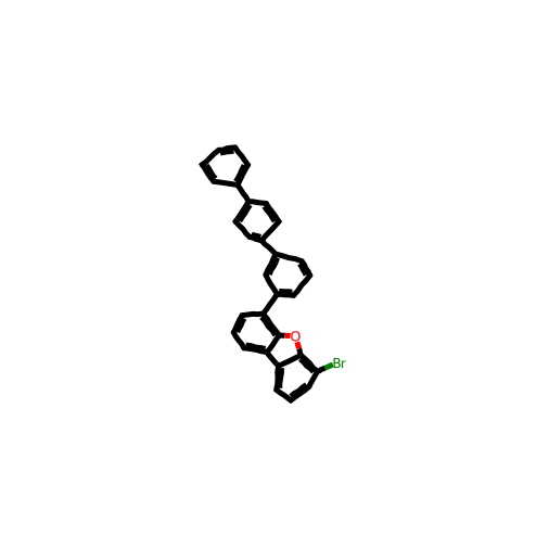 Brc1cccc2c1oc1c(-c3cccc(-c4ccc(-c5ccccc5)cc4)c3)cccc12